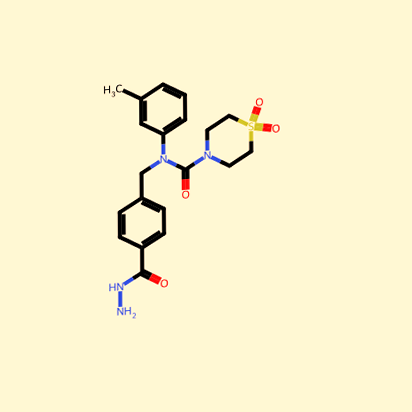 Cc1cccc(N(Cc2ccc(C(=O)NN)cc2)C(=O)N2CCS(=O)(=O)CC2)c1